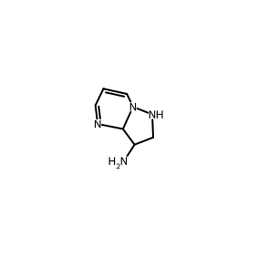 NC1CNN2C=CC=NC12